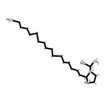 CCCCCCCCCCCCCCCCCC1NCCN1C(C)O